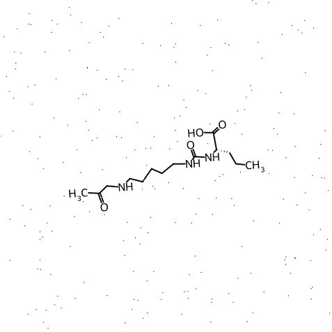 CCC[C@H](NC(=O)NCCCCCNCC(C)=O)C(=O)O